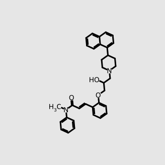 CN(C(=O)C=Cc1ccccc1OCC(O)CN1CCC(c2cccc3ccccc23)CC1)c1ccccc1